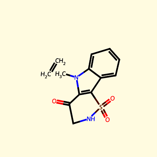 C=C.Cn1c2c(c3ccccc31)S(=O)(=O)NCC2=O